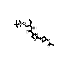 CCC(CO[Si](C)(C)C(C)(C)C)NC(=O)c1csc(N2CC(SC(C)=O)C2)n1